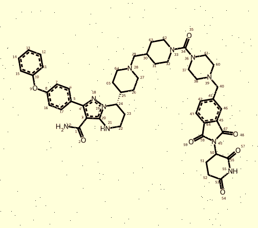 NC(=O)c1c(-c2ccc(Oc3ccccc3)cc2)nn2c1NCC[C@H]2C1CCN(CC2CCN(C(=O)N3CCN(Cc4ccc5c(c4)C(=O)N(C4CCC(=O)NC4=O)C5=O)CC3)CC2)CC1